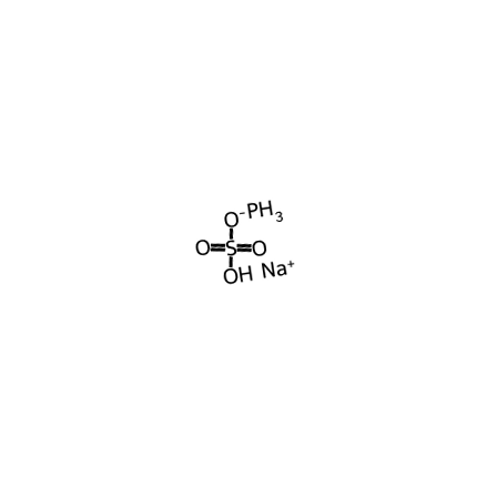 O=S(=O)([O-])O.P.[Na+]